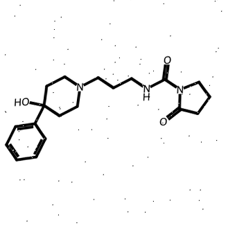 O=C1CCCN1C(=O)NCCCN1CCC(O)(c2ccccc2)CC1